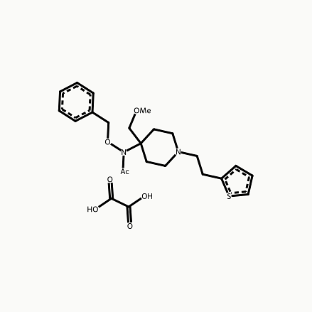 COCC1(N(OCc2ccccc2)C(C)=O)CCN(CCc2cccs2)CC1.O=C(O)C(=O)O